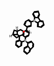 C[C@H]1C[C@H]2C[C@H]3CC(c4ccccc4N(c4ccc(-c5cccc(-n6c7ccccc7c7ccccc76)c5)cc4)c4cccc5ccccc45)(C1)C23